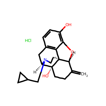 C=C1CC[C@@]2(O)[C@H]3Cc4ccc(O)c5c4[C@@]2(CCN3CC2CC2)[C@H]1O5.Cl